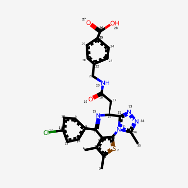 Cc1sc2c(c1C)C(c1ccc(Cl)cc1)=N[C@@H](CC(=O)NCc1ccc(C(=O)O)cc1)c1nnc(C)n1-2